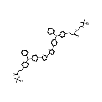 CCC(C)(C)OCCOC(=O)CCc1ccc(N(c2ccccc2)c2ccc(-c3ccc(-c4ccc(-c5ccc(N(c6ccccc6)c6ccc(CCC(=O)OC(C)(C)CC)cc6)cc5)s4)s3)cc2)cc1